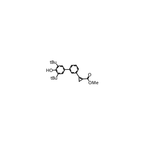 COC(=O)C1=C(c2cccc(-c3cc(C(C)(C)C)c(O)c(C(C)(C)C)c3)c2)C1